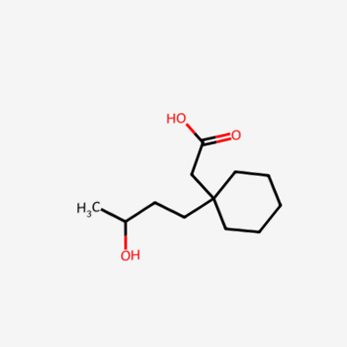 CC(O)CCC1(CC(=O)O)CCCCC1